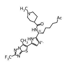 CC(=O)CCCCC[C@H](NC(=O)C1CCN(C)CC1)C1=[N+]C=C(c2sc3nc(C(F)(F)F)nn3c2C)N1